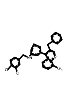 FC(F)(F)c1cccc2c(-c3cccc(NCc4ccc(Cl)c(Cl)c4)c3)c(Cc3ccccc3)cnc12